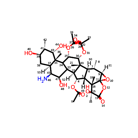 CC(=O)O[C@H]1[C@@H]2[C@H]([C@H](C)[C@H]3O[C@]34OC(=O)[C@@](C)(O)[C@]24C)[C@]2(C)[C@@H]1C1C([C@H](OC(C)=O)[C@@H]2OC(C)=O)[C@]2(C)[C@H](C[C@@H](O)[C@H](C)[C@@H]2O)[C@H](N)[C@@H]1O